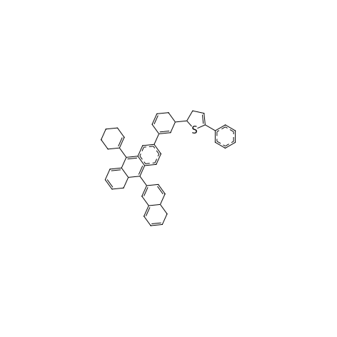 C1=CCC2C=CC(C3=c4ccc(C5=CC(C6CC=C(c7ccccc7)S6)CC=C5)cc4=C(C4=CCCCC4)C4=CC=CCC43)=CC2=C1